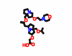 C=C(CC1CCC2(COC(C)C)C[C@@H](OCC(=O)O)CN12)OCC12CCCN1C[C@H](OCCN1CCOCC1)C2